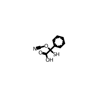 N#COC(S)(C(=O)O)c1ccccc1